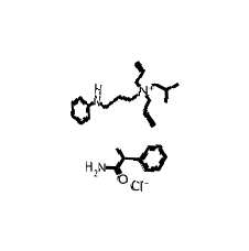 C=CC[N+](CC=C)(CCCNc1ccccc1)CC(C)C.CC(C(N)=O)c1ccccc1.[Cl-]